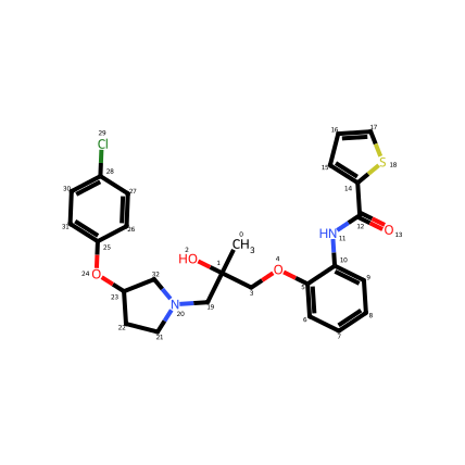 CC(O)(COc1ccccc1NC(=O)c1cccs1)CN1CCC(Oc2ccc(Cl)cc2)C1